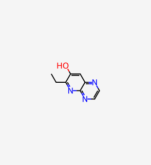 CCc1nc2nccnc2cc1O